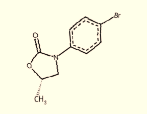 C[C@H]1CN(c2ccc(Br)cc2)C(=O)O1